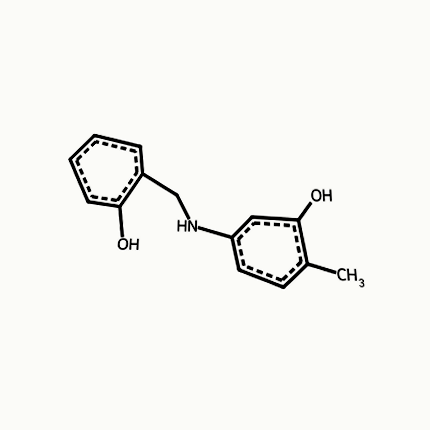 Cc1ccc(NCc2ccccc2O)cc1O